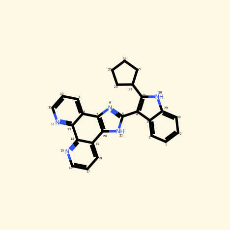 c1ccc2c(-c3nc4c5cccnc5c5ncccc5c4[nH]3)c(C3CCCC3)[nH]c2c1